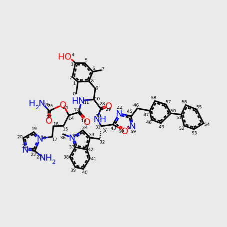 Cc1cc(O)cc(C)c1CC(NC(=O)C(CCCn1ccnc1N)OC(N)=O)C(=O)N[C@@H](Cc1cn(C)c2ccccc12)c1nc(Cc2ccc(-c3ccccc3)cc2)no1